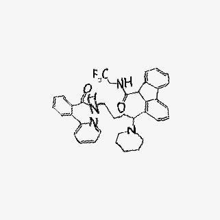 O=C(NCCCC(c1cccc2c1C(C(=O)NCC(F)(F)F)c1ccccc1-2)N1CCCCC1)c1ccccc1-c1ccccn1